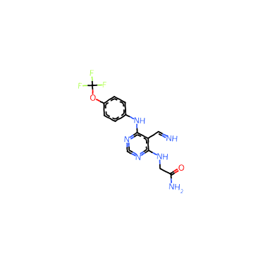 N=Cc1c(NCC(N)=O)ncnc1Nc1ccc(OC(F)(F)F)cc1